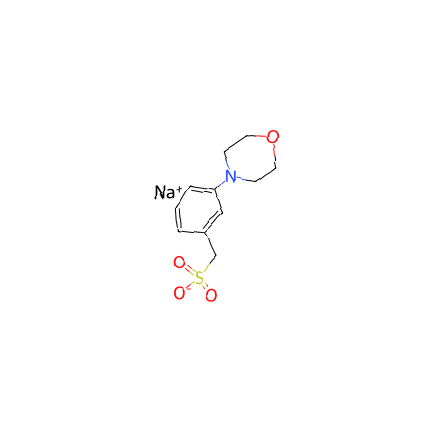 O=S(=O)([O-])Cc1cccc(N2CCOCC2)c1.[Na+]